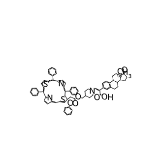 C[C@]12CCC3c4ccc(C(=CN5CCC(COC(=O)CC6(Oc7ccccc7)C=C7C=C8C=CC(=N8)C(c8ccccc8)=c8ccc(s8)=C(c8ccccc8)C8=NC(=C(c9ccccc9)C6S7)C=C8)CC5)C(=O)O)cc4CCC3C1CCC2=O